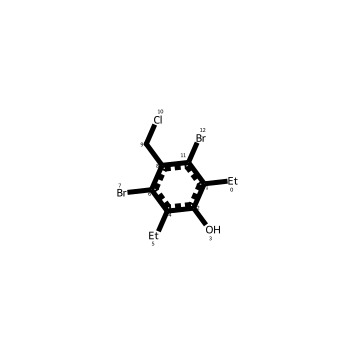 CCc1c(O)c(CC)c(Br)c(CCl)c1Br